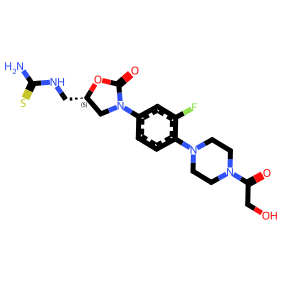 NC(=S)NC[C@H]1CN(c2ccc(N3CCN(C(=O)CO)CC3)c(F)c2)C(=O)O1